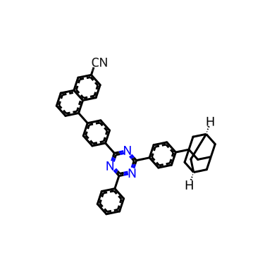 N#Cc1ccc2c(-c3ccc(-c4nc(-c5ccccc5)nc(-c5ccc(C67CC8C[C@H](C6)C[C@@H](C8)C7)cc5)n4)cc3)cccc2c1